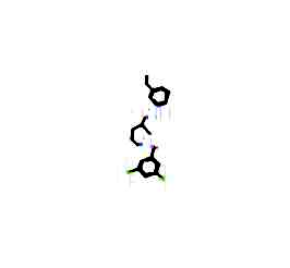 CCc1cccc(NC(=O)C2CCCN(C(=O)c3cc(C(F)(F)F)cc(C(F)(F)F)c3)C2)c1